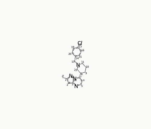 Cc1cc2nccc(C3CCCN(Cc4ccc(Cl)cc4)C3)n2n1